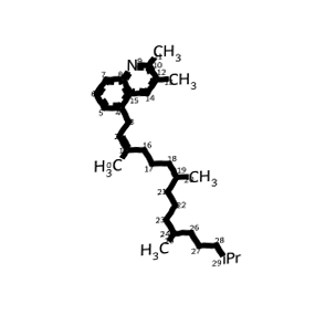 CC(=CCc1cccc2nc(C)c(C)cc12)CCCC(C)CCCC(C)CCCC(C)C